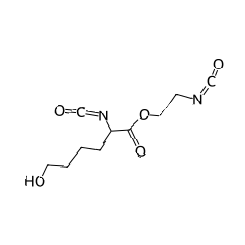 O=C=NCCOC(=O)C(CCCCO)N=C=O